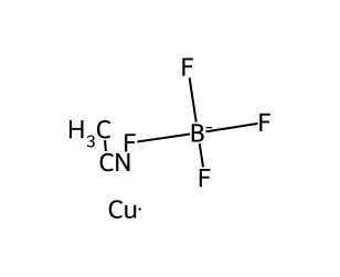 CC#N.F[B-](F)(F)F.[Cu]